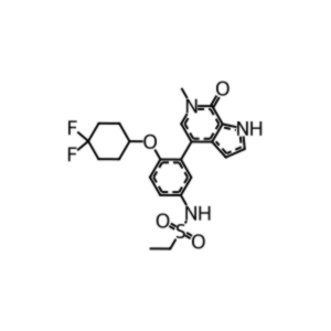 CCS(=O)(=O)Nc1ccc(OC2CCC(F)(F)CC2)c(-c2cn(C)c(=O)c3[nH]ccc23)c1